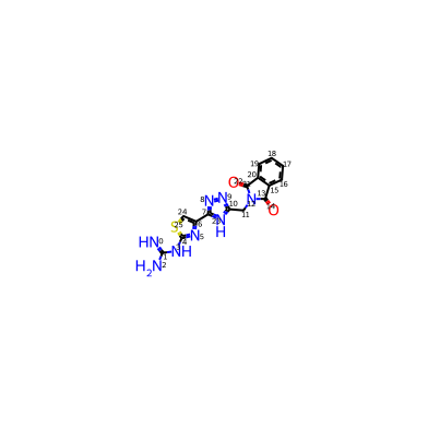 N=C(N)Nc1nc(-c2nnc(CN3C(=O)c4ccccc4C3=O)[nH]2)cs1